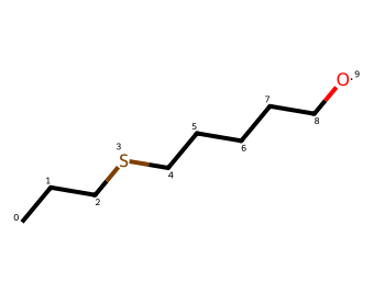 CCCSCCCCC[O]